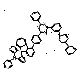 c1ccc(-c2ccc(-c3cccc(-c4nc(-c5ccccc5)nc(-c5ccc(-c6cccc7c6-c6ccccc6C76c7ccccc7N(c7ccccc7)c7ccccc76)cc5)n4)c3)cc2)cc1